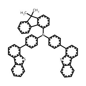 CC1(C)c2ccccc2-c2c(N(c3ccc(-c4cccc5c4sc4ccccc45)cc3)c3ccc(-c4cccc5c4sc4ccccc45)cc3)cccc21